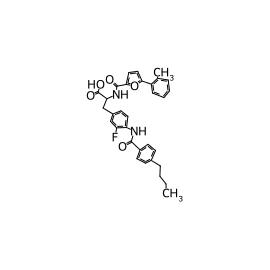 CCCCc1ccc(C(=O)Nc2ccc(CC(NC(=O)c3ccc(-c4ccccc4C)o3)C(=O)O)cc2F)cc1